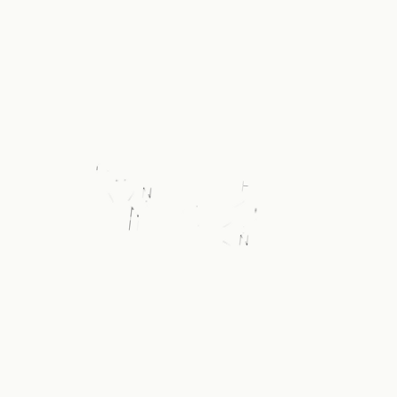 CC(Cc1nc2cc(Cl)ccc2[nH]1)C1CC2CC1CC2c1ccnc2ccc(F)cc12